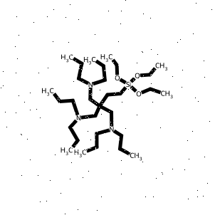 CCCN(CCC)CC(CC[Si](OCC)(OCC)OCC)(CN(CCC)CCC)CN(CCC)CCC